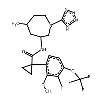 COc1c(C2(C(=O)NC3CC(C)CCN(c4nnn[nH]4)C3)CC2)ccc(OC(F)(F)F)c1F